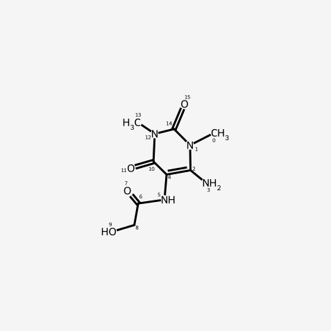 Cn1c(N)c(NC(=O)CO)c(=O)n(C)c1=O